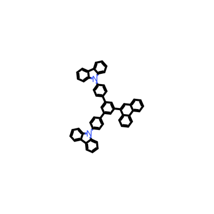 c1ccc2c(c1)cc(-c1cc(-c3ccc(-n4c5ccccc5c5ccccc54)cc3)cc(-c3ccc(-n4c5ccccc5c5ccccc54)cc3)c1)c1ccccc12